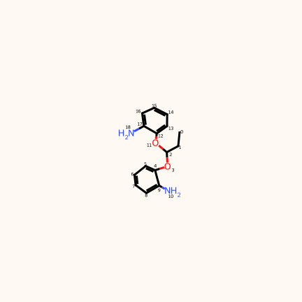 CCC(Oc1ccccc1N)Oc1ccccc1N